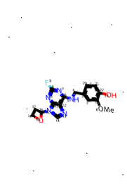 COc1cc(CNc2nc(F)nc3c2ncn3C2CCO2)ccc1O